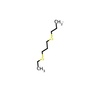 [CH2]CCSCCCSCC